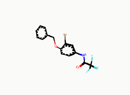 O=C(Nc1ccc(OCc2ccccc2)c(Br)c1)C(F)(F)F